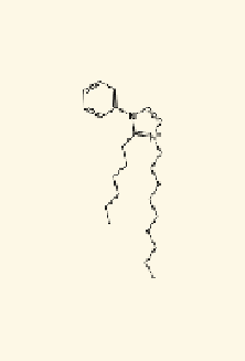 CCCCCCCCC[n+]1ccn(-c2ccccc2)c1CCCCCC